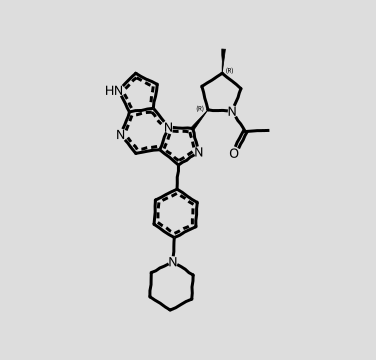 CC(=O)N1C[C@H](C)C[C@@H]1c1nc(-c2ccc(N3CCCCC3)cc2)c2cnc3[nH]ccc3n12